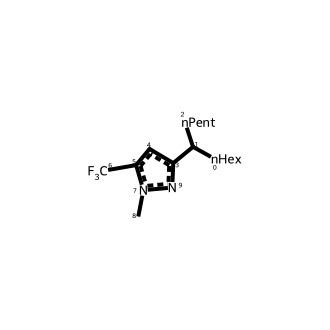 CCCCCCC(CCCCC)c1cc(C(F)(F)F)n(C)n1